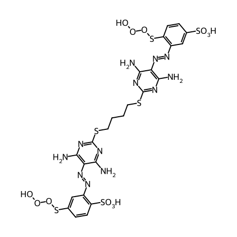 Nc1nc(SCCCCSc2nc(N)c(/N=N/c3cc(SOOO)ccc3S(=O)(=O)O)c(N)n2)nc(N)c1/N=N/c1cc(S(=O)(=O)O)ccc1SOOO